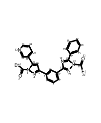 CCC(=O)n1nc(-c2cccc(-c3nc(-c4ccccc4)n(C(=O)CC)n3)c2)cc1-c1cccnc1